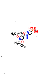 CC(C)Oc1cc(C(=O)Nc2ccc(P(=O)(O)O)cn2)cc(OC(C)C)n1